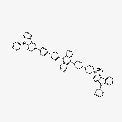 C[C@@]1(c2ccc3c(c2)c2ccccc2n3-c2ccccc2)C=CC(C2C=CC(c3c4ccccc4c(-c4ccc(-c5ccc(-c6ccc7c(c6)c6ccccc6n7-c6ccccc6)cc5)cc4)c4ccccc34)CC2)CC1